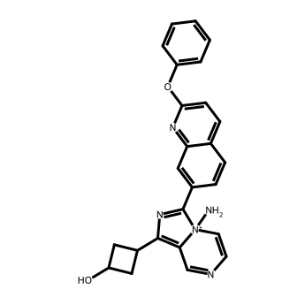 N[N+]12C=CN=CC1=C(C1CC(O)C1)N=C2c1ccc2ccc(Oc3ccccc3)nc2c1